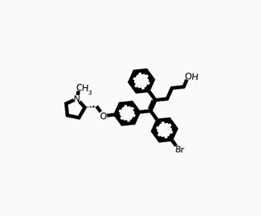 CN1CCC[C@H]1COc1ccc(/C(=C(/CCCO)c2ccccc2)c2ccc(Br)cc2)cc1